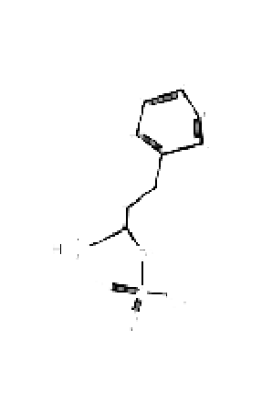 O=C(O)C(CCc1ccccc1)OS(=O)(=O)C(F)(F)F